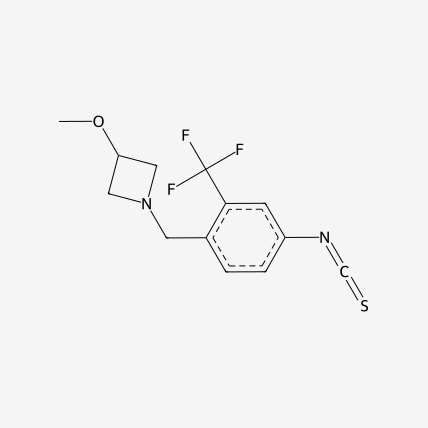 COC1CN(Cc2ccc(N=C=S)cc2C(F)(F)F)C1